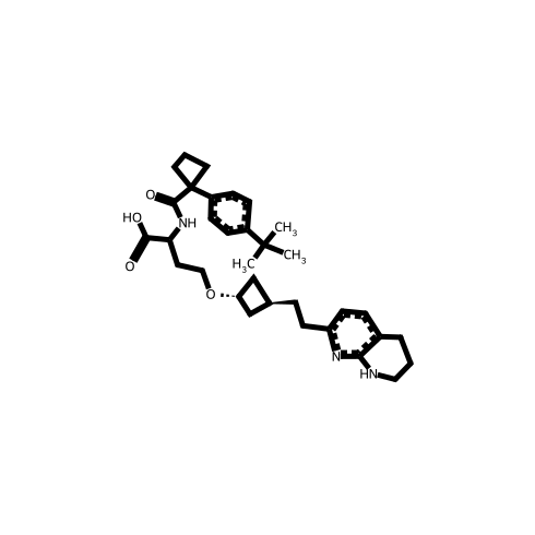 CC(C)(C)c1ccc(C2(C(=O)NC(CCO[C@H]3C[C@H](CCc4ccc5c(n4)NCCC5)C3)C(=O)O)CCC2)cc1